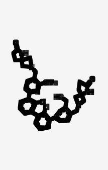 COc1nc(-c2cccc(-c3cccc(-c4ccc(CN5CC6(CCC(=O)N6)C5)c(CO)c4)c3Cl)c2Cl)ccc1CN1CC2(CCC(=O)N2)C1